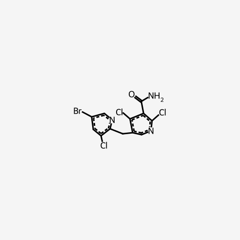 NC(=O)c1c(Cl)ncc(Cc2ncc(Br)cc2Cl)c1Cl